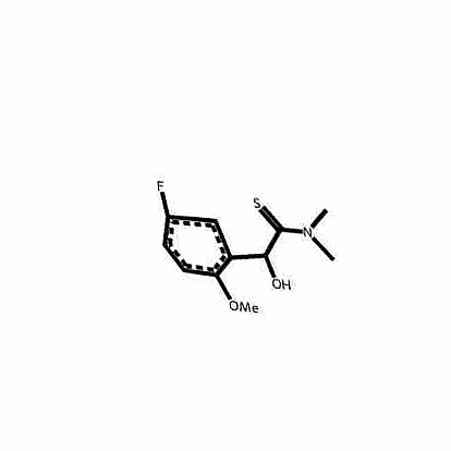 COc1ccc(F)cc1C(O)C(=S)N(C)C